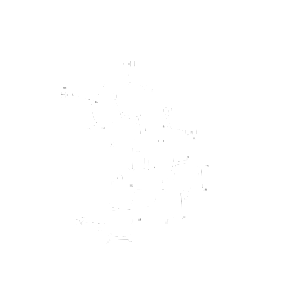 O=C(O)Oc1cc(OC(=O)O)c(C(=O)N[C@]2(Cc3cccc(Br)c3)CCCc3ccccc32)cc1OC(=O)O